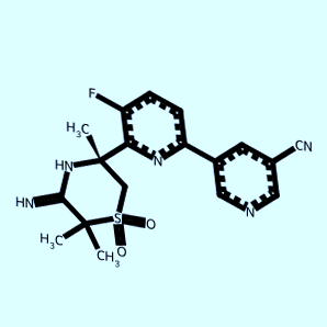 CC1(C)C(=N)N[C@](C)(c2nc(-c3cncc(C#N)c3)ccc2F)CS1(=O)=O